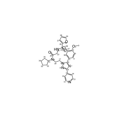 COc1ccc(-c2nc(-c3ccncc3)nn2CCN(C(=O)CNC(=O)c2ccco2)C2CCCC2)cc1Cl